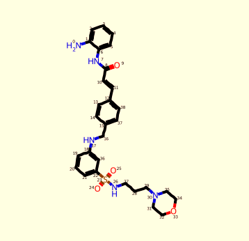 Nc1ccccc1NC(=O)C=Cc1ccc(CNc2cccc(S(=O)(=O)NCCCN3CCOCC3)c2)cc1